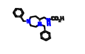 O=C(O)NCC1CCN(Cc2ccccc2)CCN1Cc1ccccc1